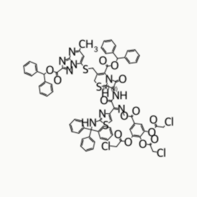 Cc1cc(SCC2=C(C(=O)OC(c3ccccc3)c3ccccc3)N3C(=O)[C@@H](NC(=O)C(=NOC(=O)c4cc(OC(=O)CCl)c(OC(=O)CCl)c(OC(=O)CCl)c4)c4csc(NC(c5ccccc5)(c5ccccc5)c5ccccc5)n4)[C@H]3SC2)n2nc(C(=O)OC(c3ccccc3)c3ccccc3)nc2n1